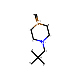 C=S1CCN(CC(C)(C)C)CC1